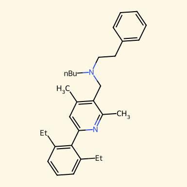 CCCCN(CCc1ccccc1)Cc1c(C)cc(-c2c(CC)cccc2CC)nc1C